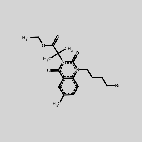 CCOC(=O)C(C)(C)n1c(=O)c2cc(C)ccc2n(CCCCBr)c1=O